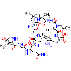 C=C1[C@H](C(=O)NCC(=O)N[C@H](CCC(N)=O)C(=O)N[C@H](CC(C)C)C(=O)NCC(=O)N[C@H](CC(C)C)C(=O)N[C@H](C)C(=O)NCC(=O)N(CCC)[C@H](C)C(=O)N[C@H](CCCCN)C(=O)O)NC[C@@H]1O